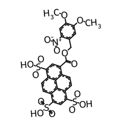 COc1cc(COC(=O)c2cc(S(=O)(=O)O)c3ccc4c(S(=O)(=O)O)cc(S(=O)(=O)O)c5ccc2c3c54)c([N+](=O)[O-])cc1OC